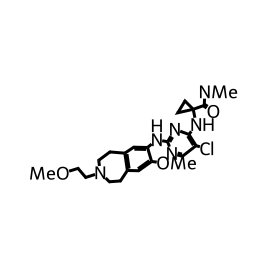 CNC(=O)C1(Nc2nc(Nc3cc4c(cc3OC)CCN(CCOC)CC4)ncc2Cl)CC1